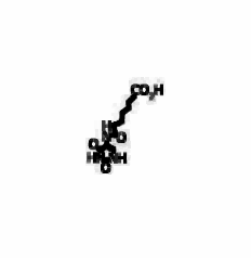 O=C(O)CCCCCCC(=O)Nc1c[nH]c(=O)[nH]c1=O